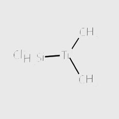 [CH3][Ti+]([CH3])[SiH3].[Cl-]